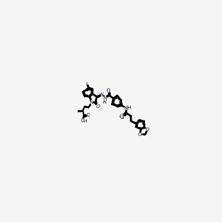 CC(CCN1C(=O)/C(=N\NC(=O)c2ccc(NC(=O)CCc3ccc4c(c3)OCO4)cc2)c2cc(I)ccc21)C(=O)O